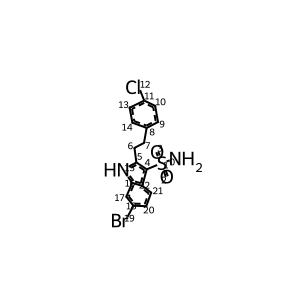 NS(=O)(=O)c1c(CCc2ccc(Cl)cc2)[nH]c2cc(Br)ccc12